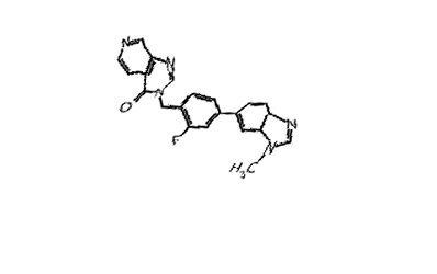 CN1C=NC2C=CC(c3ccc(Cn4cnc5cnccc5c4=O)c(F)c3)=CC21